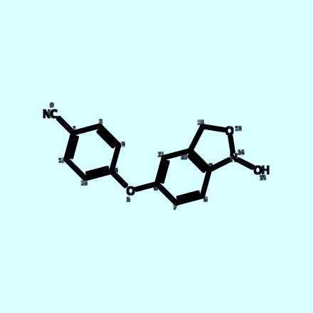 N#Cc1ccc(Oc2ccc3c(c2)CON3O)cc1